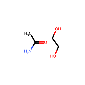 CC(N)=O.OCCO